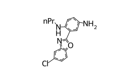 CCCNc1ccc(N)cc1-c1nc2cc(Cl)ccc2o1